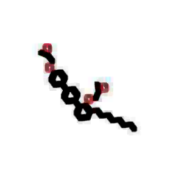 CCCCCCCCc1cccc(-c2ccc(-c3ccc(OCC4CO4)cc3)cc2)c1OCC1CO1